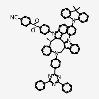 C[C@@H]1c2ccccc2N(c2ccc(-c3nc(-c4ccccc4)nc(-c4ccccc4)n3)cc2)Cc2c(n(-c3ccc(N4c5ccccc5C(C)(C)c5ccccc54)cc3)c3ccccc23)-c2c1n(-c1ccc(S(=O)(=O)c3ccc(C#N)cc3)cc1)c1ccccc21